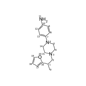 CC(CN1CCN(c2ccc(N)cc2)CC1)c1ccco1